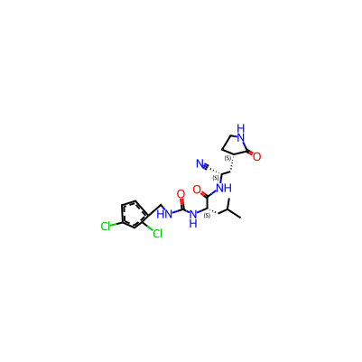 CC(C)C[C@H](NC(=O)NCc1ccc(Cl)cc1Cl)C(=O)N[C@H](C#N)C[C@@H]1CCNC1=O